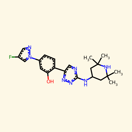 CC1(C)CC(Nc2ncc(-c3ccc(-n4cc(F)cn4)cc3O)nn2)CC(C)(C)N1